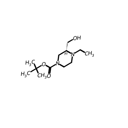 CCN1CCN(C(=O)OC(C)(C)C)C[C@@H]1CO